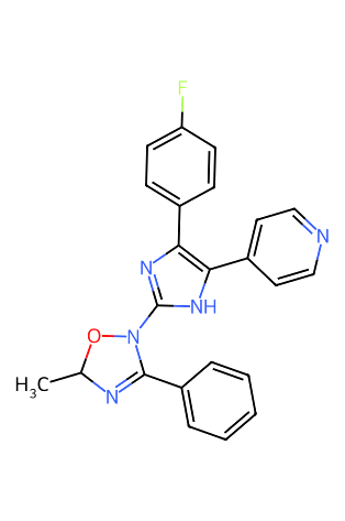 CC1N=C(c2ccccc2)N(c2nc(-c3ccc(F)cc3)c(-c3ccncc3)[nH]2)O1